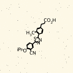 Cc1cc(CCC(=O)O)ccc1-c1nnc(-c2ccc(OC(C)C)c(C#N)c2)s1